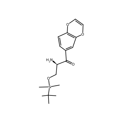 CC(C)(C)[Si](C)(C)OC[C@@H](N)C(=O)c1ccc2c(c1)OC=CO2